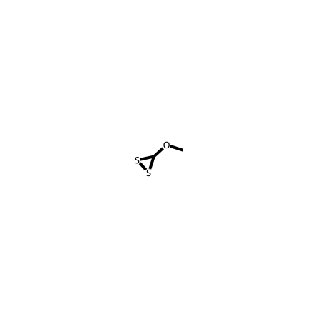 COC1SS1